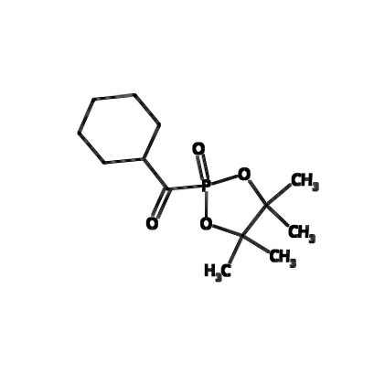 CC1(C)OP(=O)(C(=O)C2CCCCC2)OC1(C)C